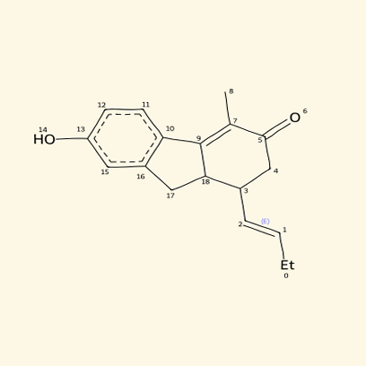 CC/C=C/C1CC(=O)C(C)=C2c3ccc(O)cc3CC21